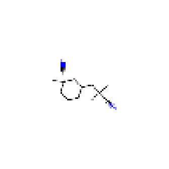 CC(C)(C#N)CC1CCCC(C)(C#N)C1